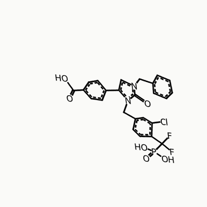 O=C(O)c1ccc(-c2cn(Cc3ccccc3)c(=O)n2Cc2ccc(C(F)(F)P(=O)(O)O)c(Cl)c2)cc1